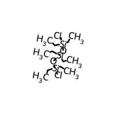 CC[Si](Cl)(CC)O[Si](CC)(CC)O[Si](Cl)(CC)CC